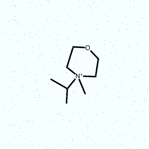 CC(C)[N+]1(C)CCOCC1